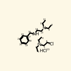 CCN(CC)CCCl.CCN(CC)CCNCc1ccccc1.Cl